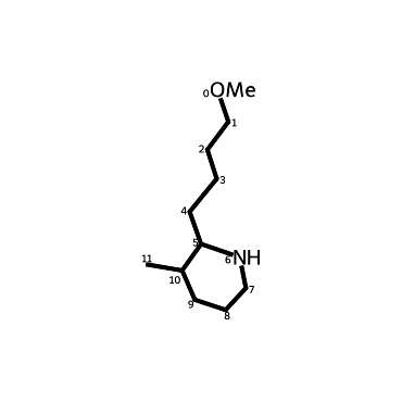 COCCCCC1NCCCC1C